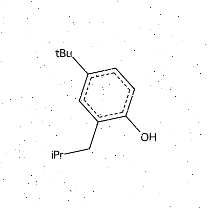 CC(C)Cc1cc(C(C)(C)C)ccc1O